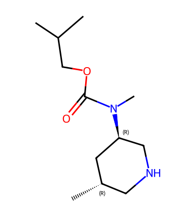 CC(C)COC(=O)N(C)[C@H]1CNC[C@H](C)C1